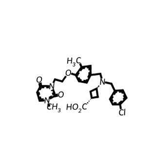 Cc1cc(CN(Cc2ccc(Cl)cc2)[C@H]2C[C@@H](C(=O)O)C2)ccc1OCCn1c(=O)ccn(C)c1=O